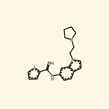 N=C(Nc1ccc2ccn(CCN3CCCC3)c2c1)c1cccs1